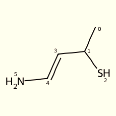 CC(S)C=CN